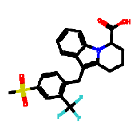 CS(=O)(=O)c1ccc(Cc2c3n(c4ccccc24)C(C(=O)O)CCC3)c(C(F)(F)F)c1